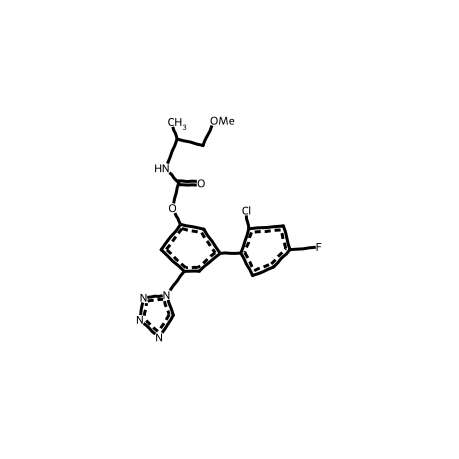 COCC(C)NC(=O)Oc1cc(-c2ccc(F)cc2Cl)cc(-n2cnnn2)c1